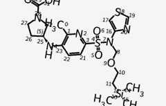 Cc1nc(S(=O)(=O)N(COCC[Si](C)(C)C)c2cscn2)ccc1N[C@H]1CCN(C(=O)O)C1